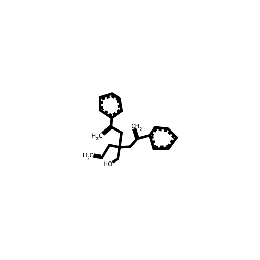 C=CCC(CO)(CC(=C)c1ccccc1)CC(=C)c1ccccc1